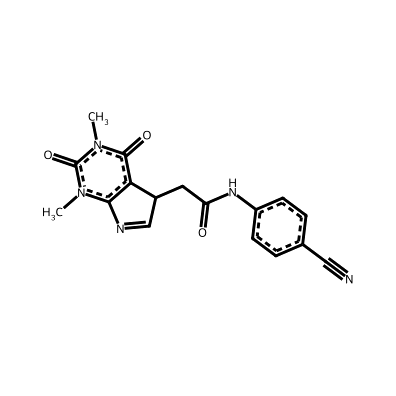 Cn1c2c(c(=O)n(C)c1=O)C(CC(=O)Nc1ccc(C#N)cc1)C=N2